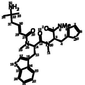 CNC(=O)[C@@H](Cc1cccs1)N(C)C(=O)[C@@H](Cc1csc2ccccc12)N(C)C(=O)C=CCC(C)(C)N